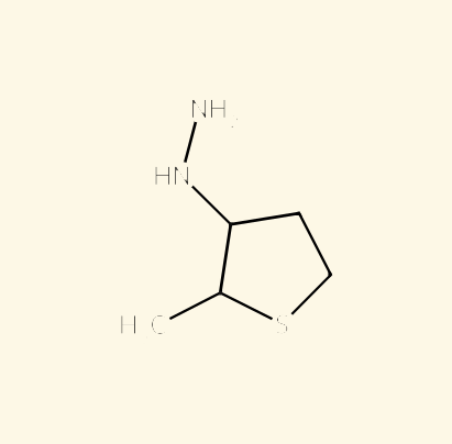 CC1SCCC1NN